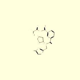 Cc1csc(CN(C(=O)c2cccc(C(=N)OC(=N)[C@H](C)N)c2)C2CCCC2)n1